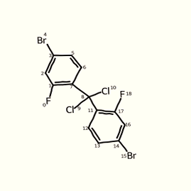 Fc1cc(Br)ccc1C(Cl)(Cl)c1ccc(Br)cc1F